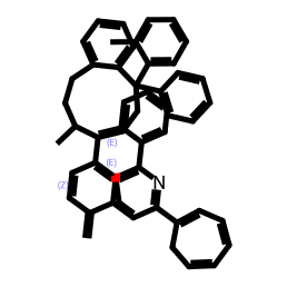 C=C(\C=C/C(=C\C)C1=C/CC(c2ccccc2)(c2ccccc2C)c2ccccc2CCC\1C)c1cc(C2=CC=CC=CC2)nc(-c2ccccc2)c1